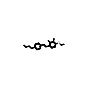 CCCCc1ccc(C=Cc2ccc(OCC)c(C)c2C)cc1